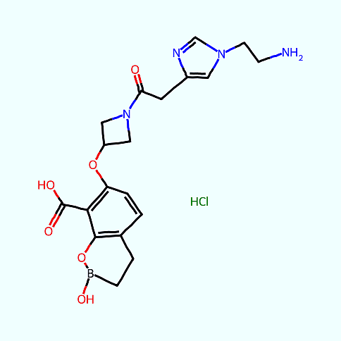 Cl.NCCn1cnc(CC(=O)N2CC(Oc3ccc4c(c3C(=O)O)OB(O)CC4)C2)c1